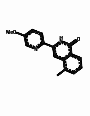 COc1ccc(-c2cc3c(C)cccc3c(=O)[nH]2)nc1